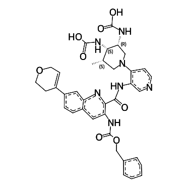 C[C@H]1CN(c2ccncc2NC(=O)c2nc3cc(C4=CCOCC4)ccc3cc2NC(=O)OCc2ccccc2)C[C@@H](NC(=O)O)[C@H]1NC(=O)O